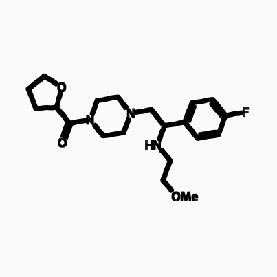 COCCNC(CN1CCN(C(=O)C2CCCO2)CC1)c1ccc(F)cc1